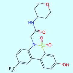 O=C(CN1c2ccc(C(F)(F)F)cc2-c2ccc(O)cc2S1(=O)=O)NC1CCOCC1